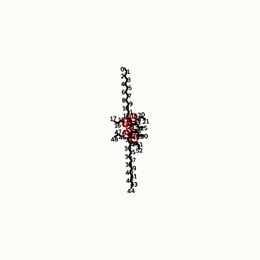 CCCCCCCCCCCCCC(OCCC)(OCCC)C(CCC)OC(CCC)C(CCCCCCCCCCCCC)(OCCC)OCCC